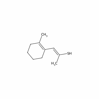 CC1=C(/C=C(\C)S)CCCC1